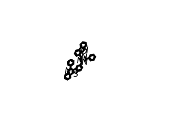 c1ccc(-c2nc3ccccc3c3sc4ccc(C5=NC(c6ccccc6)NC(c6cccc7c6oc6ccccc67)=N5)cc4c23)cc1